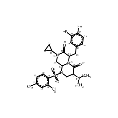 CN(C)C1CN(S(=O)(=O)c2ccc(Cl)cc2Cl)C2CN(C3CC3)C(=O)C(Cc3ccc(F)c(F)c3)N2C1=O